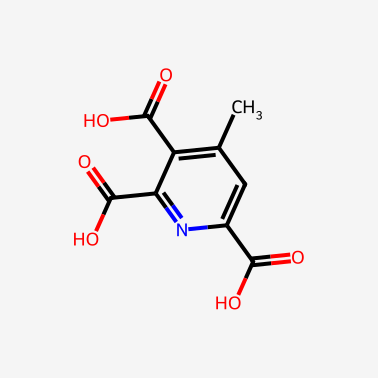 Cc1cc(C(=O)O)nc(C(=O)O)c1C(=O)O